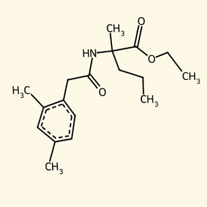 CCCC(C)(NC(=O)Cc1ccc(C)cc1C)C(=O)OCC